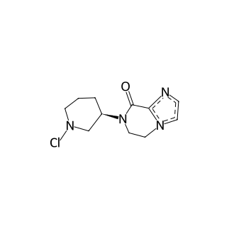 O=C1c2nccn2CCN1[C@@H]1CCCN(Cl)C1